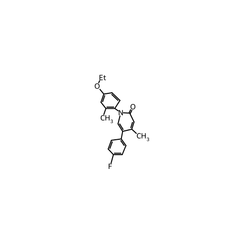 CCOc1ccc(-n2cc(-c3ccc(F)cc3)c(C)cc2=O)c(C)c1